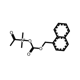 CC(=O)[N+](C)(C)OC(=O)OCc1cccc2ccccc12